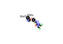 COc1cc2nccc(Oc3ccc(NC(=S)NC(=O)N(CCCl)CCCl)cc3)c2cc1OC